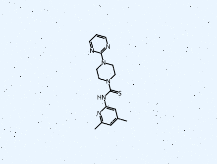 Cc1cc(C)nc(NC(=S)N2CCN(c3ncccn3)CC2)c1